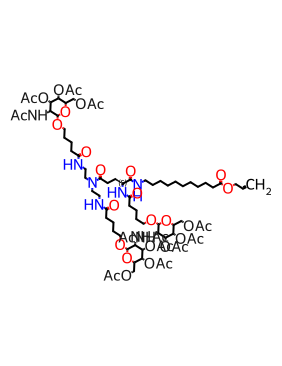 C=CCOC(=O)CCCCCCCCCCNC(=O)[C@H](CCC(=O)N(CCNC(=O)CCCCOC1OC(COC(C)=O)C(OC(C)=O)C(OC(C)=O)C1NC(C)=O)CCNC(=O)CCCCOC1OC(COC(C)=O)C(OC(C)=O)C(OC(C)=O)C1NC(C)=O)NC(=O)CCCCOC1OC(COC(C)=O)C(OC(C)=O)C(OC(C)=O)C1NC(C)=O